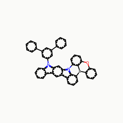 c1ccc(-c2cc(-c3ccccc3)cc(-n3c4ccccc4c4cc5c6cccc7c6n(c5cc43)-c3cccc4c3B7c3ccccc3O4)c2)cc1